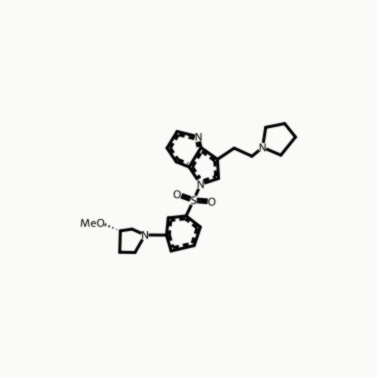 CO[C@H]1CCN(c2cccc(S(=O)(=O)n3cc(CCN4CCCC4)c4ncccc43)c2)C1